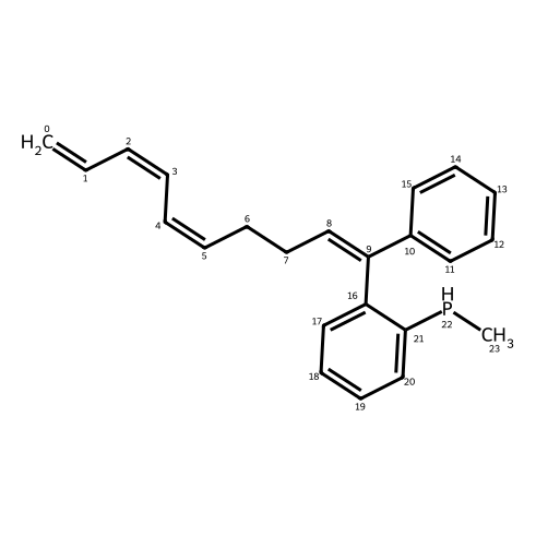 C=C/C=C\C=C/CC/C=C(/c1ccccc1)c1ccccc1PC